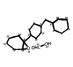 C1CCC(CC2CCC(C34CCCCC3O4)CC2)CC1.O=CO